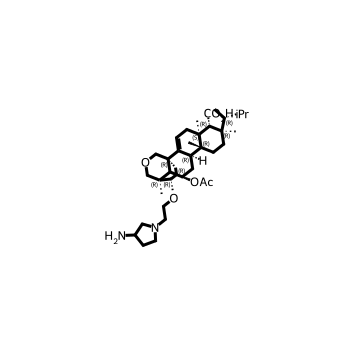 CC(=O)O[C@@H]1C[C@@]23COC[C@@](C)(C2CC[C@H]2C3=CC[C@@]3(C)[C@H](C(=O)O)[C@@](C)([C@H](C)C(C)C)CC[C@]23C)[C@H]1OCCN1CCC(N)C1